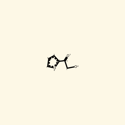 [O]CC(=O)c1ccco1